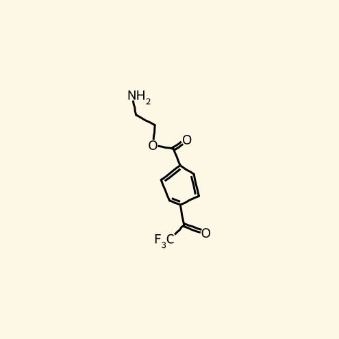 NCCOC(=O)c1ccc(C(=O)C(F)(F)F)cc1